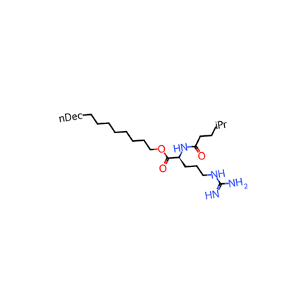 CCCCCCCCCCCCCCCCCCOC(=O)[C@H](CCCNC(=N)N)NC(=O)CCC(C)C